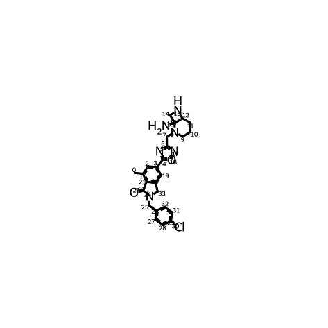 Cc1cc(-c2nc(CN3CCCC4NCC43N)no2)cc2c1C(=O)N(Cc1ccc(Cl)cc1)C2